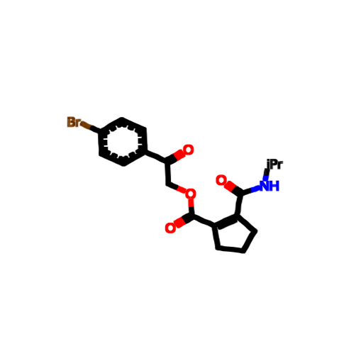 CC(C)NC(=O)C1=C(C(=O)OCC(=O)c2ccc(Br)cc2)CCC1